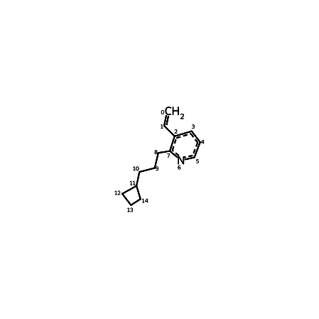 C=Cc1cccnc1CCCC1CCC1